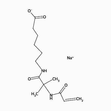 C=CC(=O)NC(C)(C)C(=O)NCCCCCC(=O)[O-].[Na+]